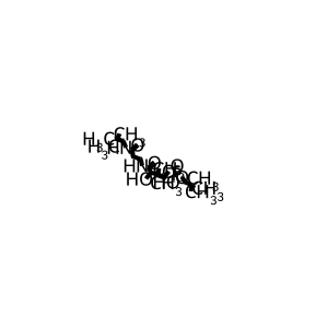 CC(C)(C)CNC(=O)CCNC(=O)C(O)C(C)(C)COP(=O)(O)OCC(C)(C)C